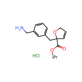 CC(C)OC(=O)C1(Cc2cccc(CN)c2)C=CCO1.Cl